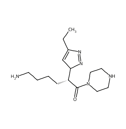 CCC1=CC([C@@H](CCCCN)C(=O)N2CCNCC2)N=N1